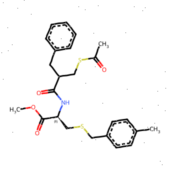 COC(=O)[C@H](CSCc1ccc(C)cc1)NC(=O)C(CSC(C)=O)Cc1ccccc1